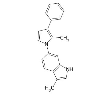 Cc1c[nH]c2cc(-n3ccc(-c4ccccc4)c3C)ccc12